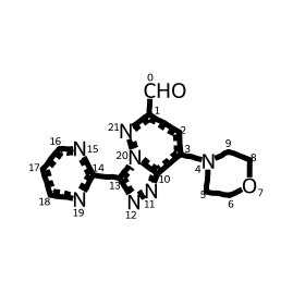 O=Cc1cc(N2CCOCC2)c2nnc(-c3ncccn3)n2n1